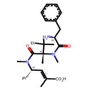 CCC(C)(C)[C@@](C)(C(=O)N(C)[C@H](/C=C(\C)C(=O)O)C(C)C)N(C)C(=O)[C@@H](N)Cc1ccccc1